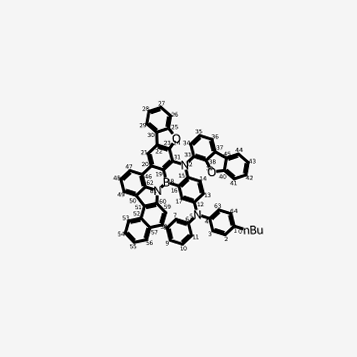 CCCCc1ccc(N(c2ccccc2)c2ccc3c(c2)B2c4c(cc5c(oc6ccccc65)c4N3c3cccc4c3oc3ccccc34)-c3cccc4c5c6ccccc6ccc5n2c34)cc1